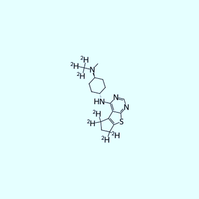 [2H]C1([2H])CC([2H])([2H])c2c1sc1ncnc(N[C@H]3CC[C@H](N(C)C([2H])([2H])[2H])CC3)c21